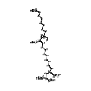 CCCCCCCCCCCCCCCCCC(=O)OC(CCCCCC)CCCCCCCCCC(CC(CCCCCCCC)CCCCCCCCCC)C(=O)O